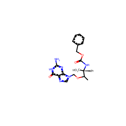 CC(C)[C@](NC(=O)OCc1ccccc1)(C(=O)O)C(C)OCn1cnc2c(=O)[nH]c(N)nc21